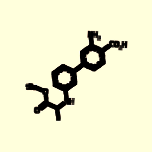 CC(Nc1cccc(-c2ccc(C(=O)O)c(N)c2)c1)C(=O)OC(C)(C)C